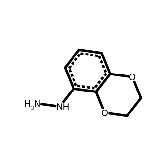 NNc1cccc2c1OCCO2